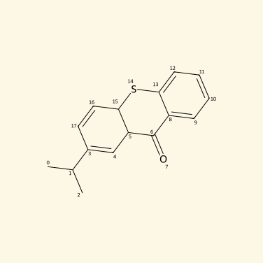 CC(C)C1=CC2C(=O)c3ccccc3SC2C=C1